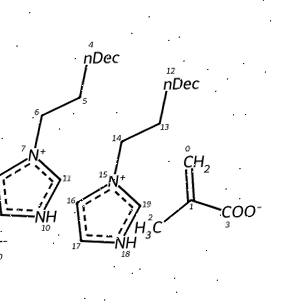 C=C(C)C(=O)[O-].CCCCCCCCCCCC[n+]1cc[nH]c1.CCCCCCCCCCCC[n+]1cc[nH]c1.[Br-]